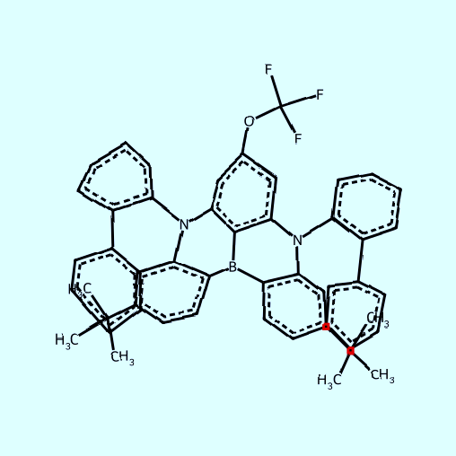 CC(C)(C)c1ccc2c(c1)N(c1ccccc1-c1ccccc1)c1cc(OC(F)(F)F)cc3c1B2c1ccc(C(C)(C)C)cc1N3c1ccccc1-c1ccccc1